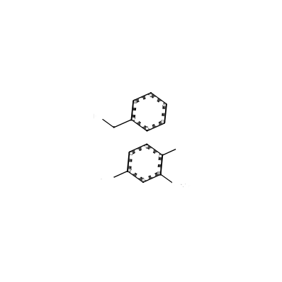 COc1cc(C=O)ccc1O.OCc1ccccc1